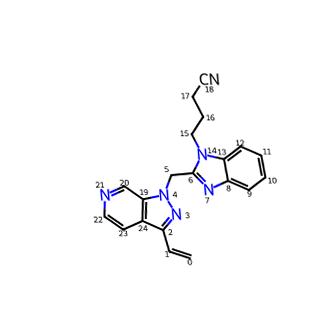 C=Cc1nn(Cc2nc3ccccc3n2CCCC#N)c2cnccc12